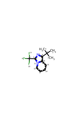 CC(C)(C)c1nc(C(F)(F)F)n2ccccc12